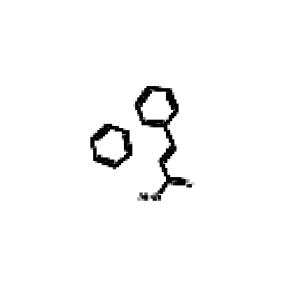 COC(=O)/C=C/c1ccccc1.c1ccccc1